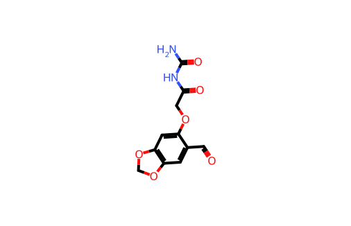 NC(=O)NC(=O)COc1cc2c(cc1C=O)OCO2